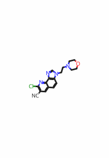 N#Cc1cc2ccc3c(ncn3CCN3CCOCC3)c2nc1Cl